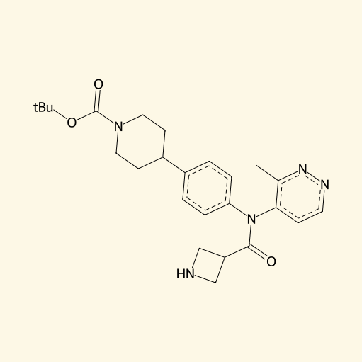 Cc1nnccc1N(C(=O)C1CNC1)c1ccc(C2CCN(C(=O)OC(C)(C)C)CC2)cc1